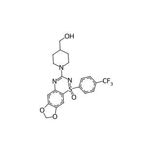 O=S1(c2ccc(C(F)(F)F)cc2)=NC(N2CCC(CO)CC2)=Nc2cc3c(cc21)OCO3